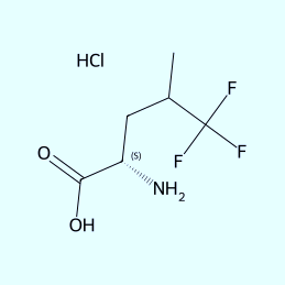 CC(C[C@H](N)C(=O)O)C(F)(F)F.Cl